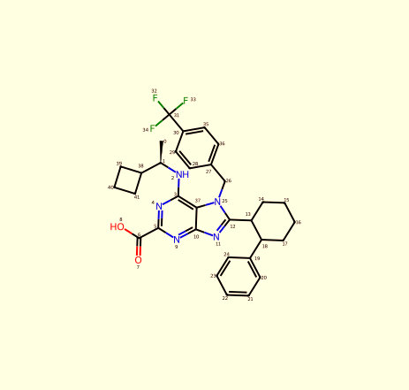 C[C@@H](Nc1nc(C(=O)O)nc2nc(C3CCCCC3c3ccccc3)n(Cc3ccc(C(F)(F)F)cc3)c12)C1CCC1